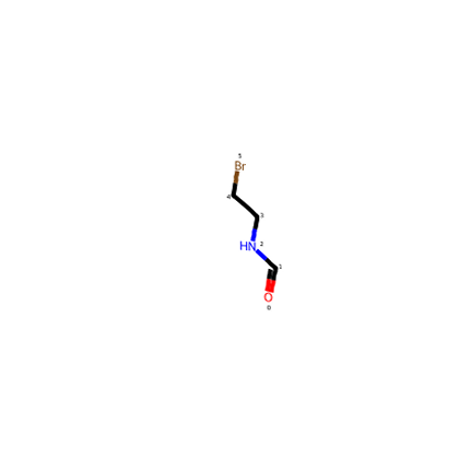 O=CNCCBr